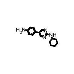 Nc1ccc(-c2cnc(NC3CCCCC3)nc2)cc1